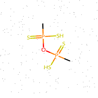 CP(=S)(S)OP(C)(=S)S